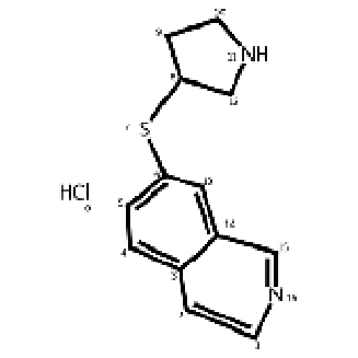 Cl.c1cc2ccc(SC3CCNC3)cc2cn1